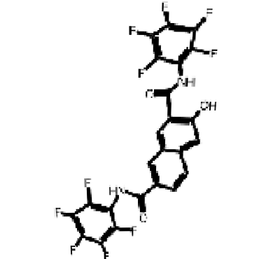 O=C(Nc1c(F)c(F)c(F)c(F)c1F)c1ccc2cc(O)c(C(=O)Nc3c(F)c(F)c(F)c(F)c3F)cc2c1